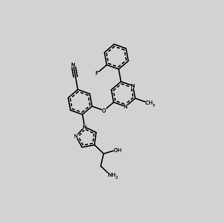 Cc1nc(Oc2cc(C#N)ccc2-n2cc(C(O)CN)cn2)cc(-c2ccccc2F)n1